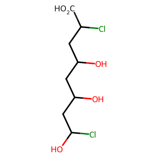 O=C(O)C(Cl)CC(O)CC(O)CC(O)Cl